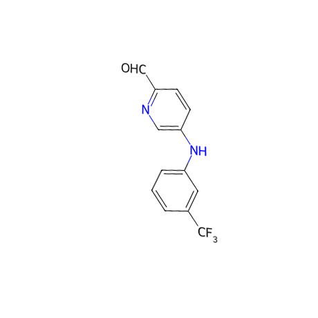 O=Cc1ccc(Nc2cccc(C(F)(F)F)c2)cn1